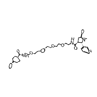 CN1C(=O)C[C@H](C(=O)NCCOCCOCCOCCOCCNC(=O)C2CCC(=O)CC2)[C@H]1c1cccnc1